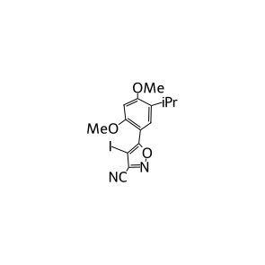 COc1cc(OC)c(C(C)C)cc1-c1onc(C#N)c1I